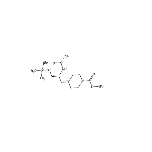 CC(C)(C)OC(=O)N1CCC(=C[C@@H](CO[Si](C)(C)C(C)(C)C)N[S@+]([O-])C(C)(C)C)CC1